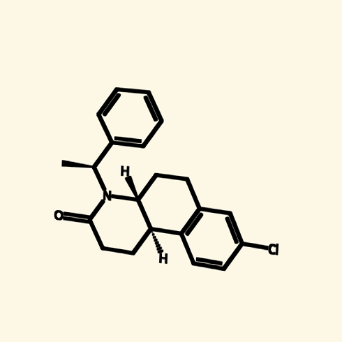 C[C@@H](c1ccccc1)N1C(=O)CC[C@@H]2c3ccc(Cl)cc3CC[C@H]21